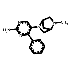 CN1CC2CC1CN2c1cnc(N)nc1-c1ccccc1